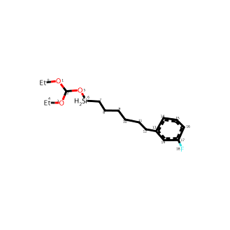 CCOC(OCC)O[SiH2]CCCCCCc1cccc(F)c1